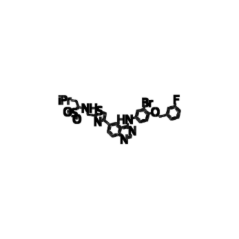 CC(C)CC(NCc1nc(-c2ccc3ncnc(Nc4ccc(OCc5cccc(F)c5)c(Br)c4)c3c2)cs1)=S(=O)=O